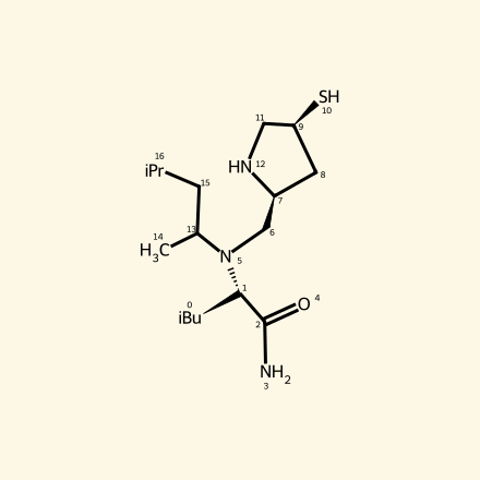 CC[C@H](C)[C@@H](C(N)=O)N(C[C@@H]1C[C@H](S)CN1)C(C)CC(C)C